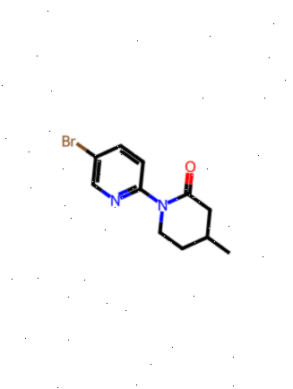 CC1CCN(c2ccc(Br)cn2)C(=O)C1